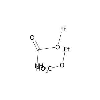 CCOC(=O)O.CCOC(N)=O